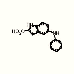 O=C(O)c1cc2cc(Nc3ccccc3)ccc2[nH]1